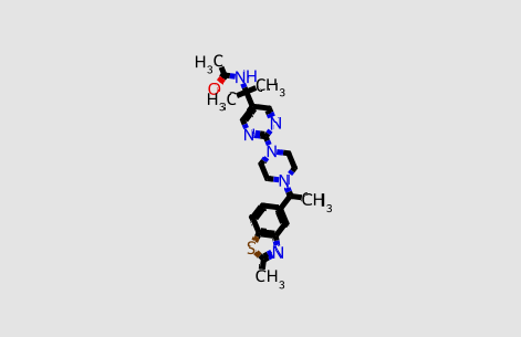 CC(=O)NC(C)(C)c1cnc(N2CCN(C(C)c3ccc4sc(C)nc4c3)CC2)nc1